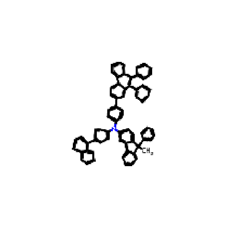 CC1(c2ccccc2)c2ccccc2-c2cc(N(c3ccc(-c4ccc5c(c4)c(-c4ccccc4)c(-c4ccccc4)c4ccccc45)cc3)c3ccc(-c4cccc5ccccc45)cc3)ccc21